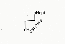 CCCCCCCCCCCCCCCC.S=C=S